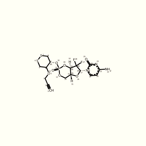 C#CCOC1CSSC[C@@H]1OP1(=O)OC[C@H]2O[C@@H](n3ccc(N)nc3=O)C(F)(F)[C@@H]2O1